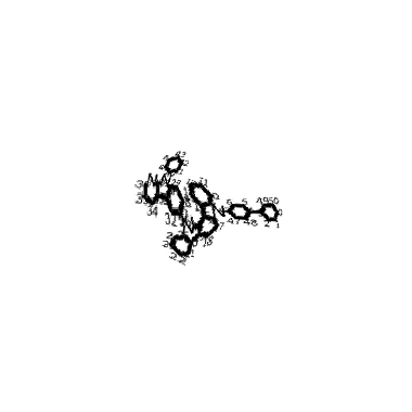 c1ccc(-c2ccc(-n3c4ccccc4c4c3ccc3c5ccccc5n(-c5ccc6c(c5)c5cccnc5n6-c5ccccc5)c34)cc2)cc1